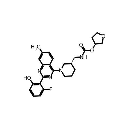 Cc1ccc2c(N3CCC[C@@H](CNC(=O)O[C@H]4CCOC4)C3)nc(-c3c(O)cccc3F)nc2c1